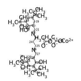 CC(=O)[O-].CC(=O)[O-].CC(C)(C)c1cc([Si](C)(C)C)cc(C=NCCCN=Cc2cc([Si](C)(C)C)cc(C(C)(C)C)c2O)c1O.[Co+2]